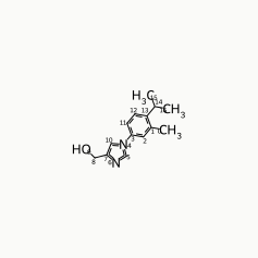 Cc1cc(-n2cnc(CO)c2)ccc1C(C)C